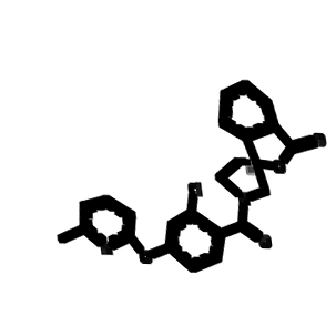 Cc1cccc(Oc2ccc(C(=O)N3CC[C@@]4(C3)OC(=O)c3ccccc34)c(Cl)c2)n1